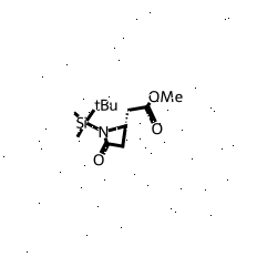 COC(=O)C[C@@H]1CC(=O)N1[Si](C)(C)C(C)(C)C